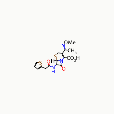 CON=C(C)C1=C(C(=O)O)N2C(=O)[C@@H](NC(=O)Cc3cccs3)[C@@H]2SC1